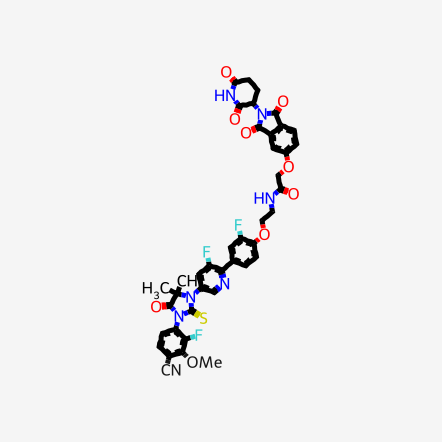 COc1c(C#N)ccc(N2C(=O)C(C)(C)N(c3cnc(-c4ccc(OCCNC(=O)COc5ccc6c(c5)C(=O)N(C5CCC(=O)NC5=O)C6=O)c(F)c4)c(F)c3)C2=S)c1F